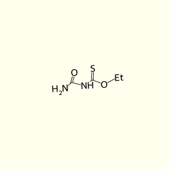 CCOC(=S)NC(N)=O